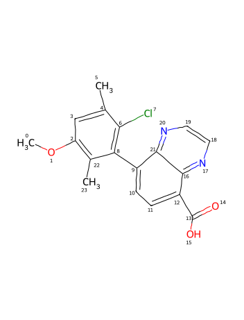 COc1cc(C)c(Cl)c(-c2ccc(C(=O)O)c3nccnc23)c1C